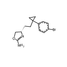 NC1=N[C@@H](CCC2(c3ccc(Br)cc3)CC2)CO1